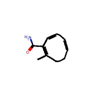 C/C1=C(C(N)=O)/C=C\C=C/CC1